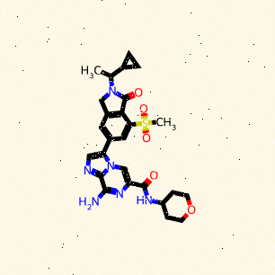 CC(C1CC1)N1Cc2cc(-c3cnc4c(N)nc(C(=O)NC5CCOCC5)cn34)cc(S(C)(=O)=O)c2C1=O